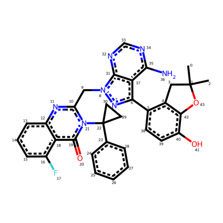 CC1(C)Cc2c(-c3nn(Cc4nc5cccc(F)c5c(=O)n4C4(c5ccccc5)CC4)c4ncnc(N)c34)ccc(O)c2O1